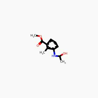 COC(=O)c1cccc(NC(C)O)c1C